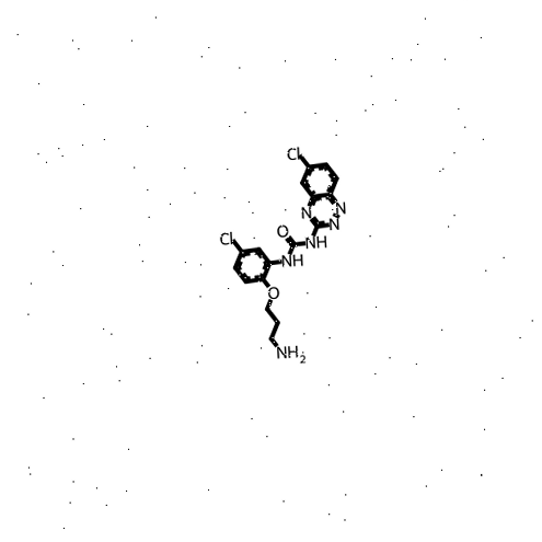 NCCCOc1ccc(Cl)cc1NC(=O)Nc1nnc2ccc(Cl)cc2n1